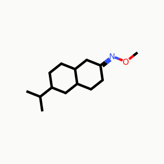 CON=C1CCC2CC(C(C)C)CCC2C1